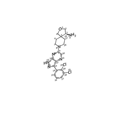 N[C@@H]1COCC12CCN(c1cnc3c(-c4cccc(Cl)c4Cl)n[nH]c3n1)CC2